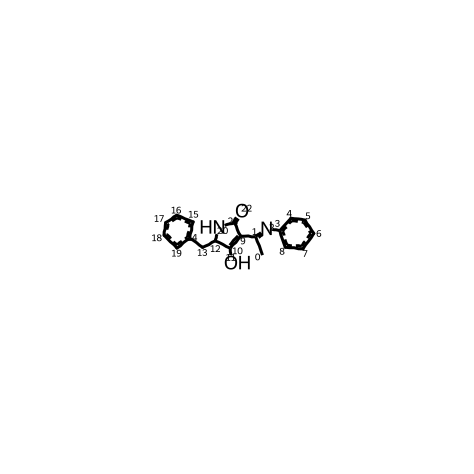 CC(=Nc1ccccc1)C1=C(O)C(Cc2ccccc2)NC1=O